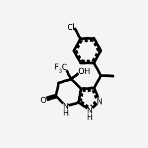 CC(c1ccc(Cl)cc1)c1n[nH]c2c1C(O)(C(F)(F)F)CC(=O)N2